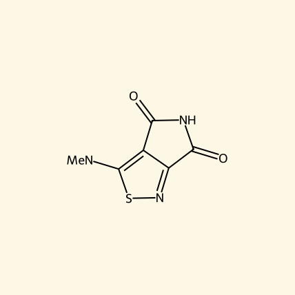 CNc1snc2c1C(=O)NC2=O